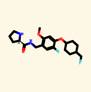 COc1cc(OC2CCC(CF)CC2)c(F)cc1CNC(=O)[C@@H]1CCCN1